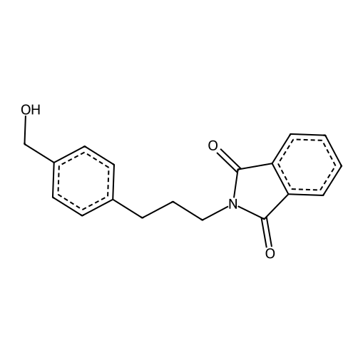 O=C1c2ccccc2C(=O)N1CCCc1ccc(CO)cc1